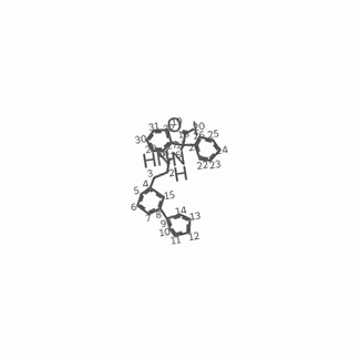 N=C(CCc1cccc(-c2ccccc2)c1)NC(C(=O)I)(c1ccccc1)c1ccccc1